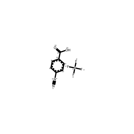 F[B-](F)(F)F.N#[N+]c1ccc(C(=O)O)cc1